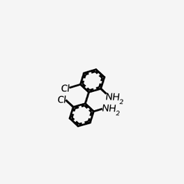 Nc1cccc(Cl)c1-c1c(N)cccc1Cl